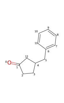 O=C1CCC(Cc2ccccc2)C1